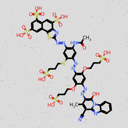 CC(=O)Nc1cc(N=Nc2cc(OCCCS(=O)(=O)O)c(N=Nc3c(C)c(C#N)c4nc5ccccc5n4c3O)cc2OCCCS(=O)(=O)O)c(SCCCS(=O)(=O)O)cc1N=Nc1nc2c(S(=O)(=O)O)cc3c(S(=O)(=O)O)cc(S(=O)(=O)O)cc3c2s1